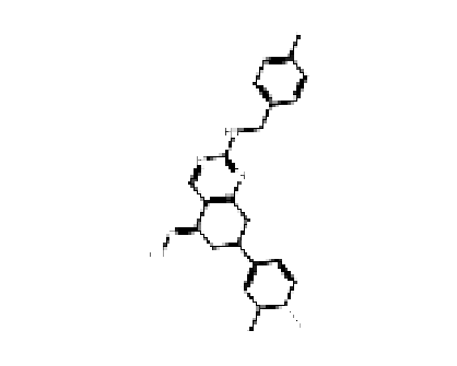 Cc1ccc(CNc2ncc3c(n2)CC(C2=CC(C)[C@@H](F)C=C2)C/C3=N\O)cc1